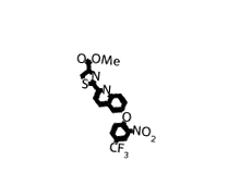 COC(=O)C1CSC(c2ccc3cc(Oc4ccc(C(F)(F)F)cc4[N+](=O)[O-])ccc3n2)=N1